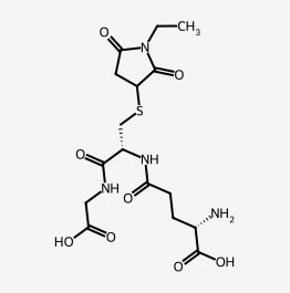 CCN1C(=O)CC(SC[C@H](NC(=O)CC[C@H](N)C(=O)O)C(=O)NCC(=O)O)C1=O